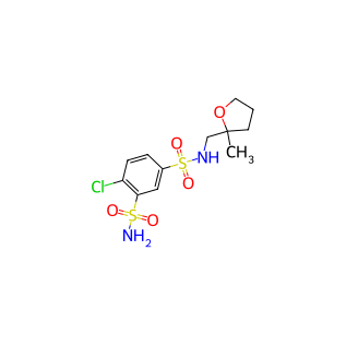 CC1(CNS(=O)(=O)c2ccc(Cl)c(S(N)(=O)=O)c2)CCCO1